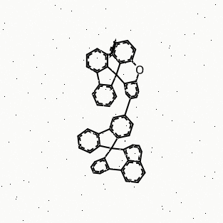 c1ccc2c(c1)-c1ccccc1C21c2cc(-c3ccc4c(c3)-c3ccccc3C43c4ccccc4-c4cccc5cccc3c45)ccc2Oc2ccc3ccccc3c21